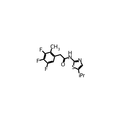 Cc1c(CC(=O)Nc2ncc(C(C)C)s2)cc(F)c(F)c1F